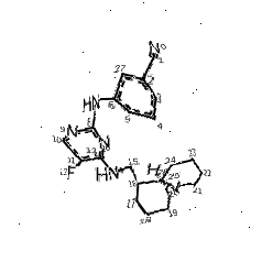 N#Cc1cccc(Nc2ncc(F)c(NC[C@@H]3CCCN4CCCC[C@H]34)n2)c1